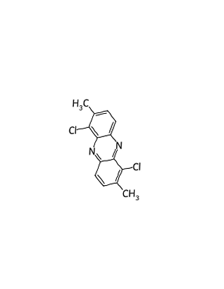 Cc1ccc2nc3c(Cl)c(C)ccc3nc2c1Cl